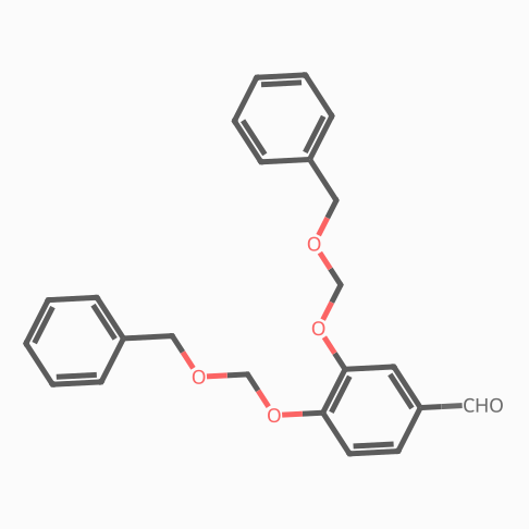 O=Cc1ccc(OCOCc2ccccc2)c(OCOCc2ccccc2)c1